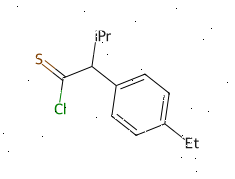 CCc1ccc(C(C(=S)Cl)C(C)C)cc1